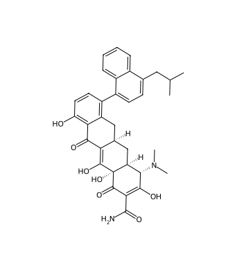 CC(C)Cc1ccc(-c2ccc(O)c3c2C[C@H]2C[C@H]4[C@H](N(C)C)C(O)=C(C(N)=O)C(=O)[C@@]4(O)C(O)=C2C3=O)c2ccccc12